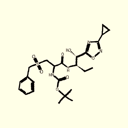 CC[C@@H](NC(=O)C(CS(=O)(=O)Cc1ccccc1)NC(=O)OC(C)(C)C)[C@H](O)c1nc(C2CC2)no1